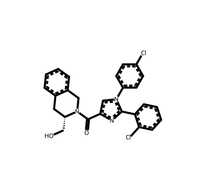 O=C(c1cn(-c2ccc(Cl)cc2)c(-c2ccccc2Cl)n1)N1Cc2ccccc2C[C@H]1CO